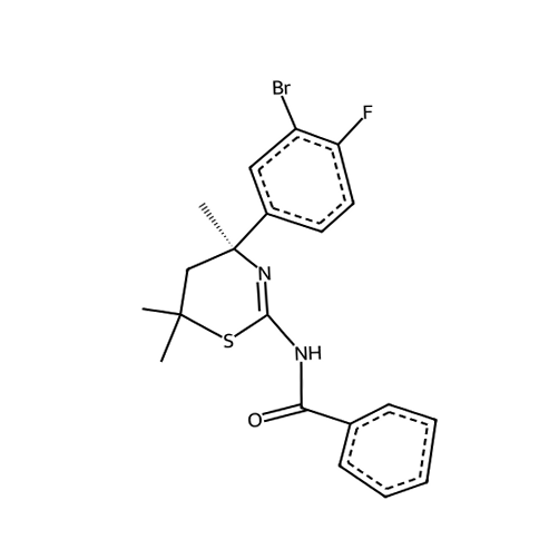 CC1(C)C[C@@](C)(c2ccc(F)c(Br)c2)N=C(NC(=O)c2ccccc2)S1